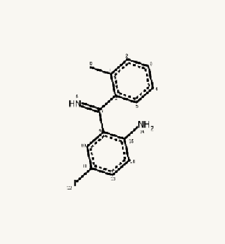 Cc1ccccc1C(=N)c1cc(I)ccc1N